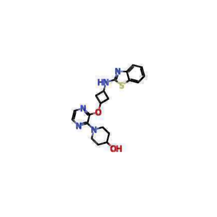 OC1CCN(c2nccnc2OC2CC(Nc3nc4ccccc4s3)C2)CC1